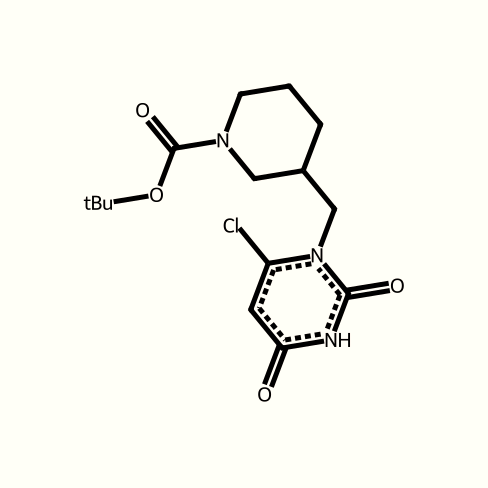 CC(C)(C)OC(=O)N1CCCC(Cn2c(Cl)cc(=O)[nH]c2=O)C1